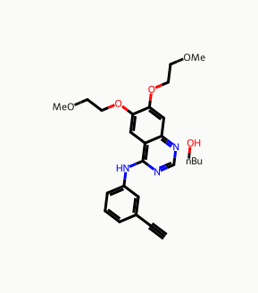 C#Cc1cccc(Nc2ncnc3cc(OCCOC)c(OCCOC)cc23)c1.CCCCO